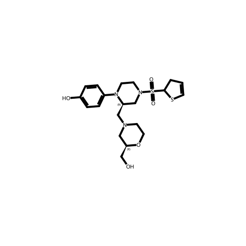 O=S(=O)(C1CC=CS1)N1CCN(c2ccc(O)cc2)[C@H](CN2CCO[C@@H](CO)C2)C1